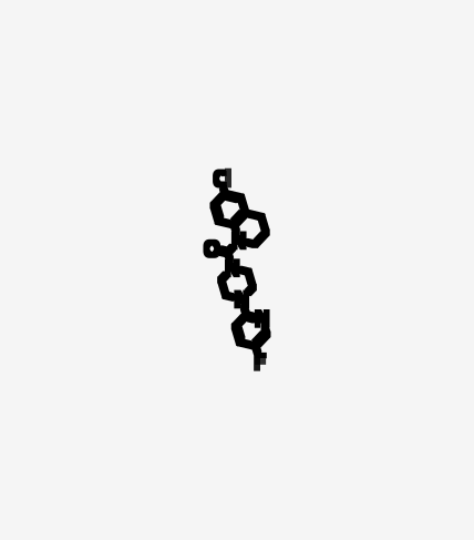 O=C(N1CCN(c2ccc(F)cn2)CC1)N1CCCc2cc(Cl)ccc21